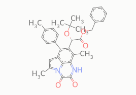 Cc1ccc(-c2c([C@H](OC(C)(C)C)C(=O)OCc3ccccc3)c(C)c3[nH]c(=O)c(=O)n4c(C)cc2c34)cc1